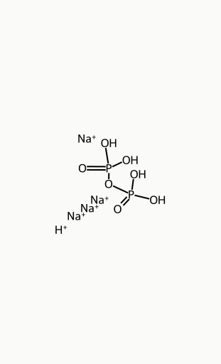 O=P(O)(O)OP(=O)(O)O.[H+].[Na+].[Na+].[Na+].[Na+]